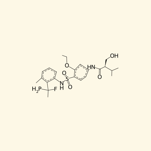 CCOc1cc(NC(=O)[C@@H](CO)C(C)C)ccc1S(=O)(=O)Nc1cccc(C)c1C(C)(F)P